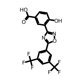 O=C(O)c1ccc(O)c(-c2noc(-c3cc(C(F)(F)F)cc(C(F)(F)F)c3)n2)c1